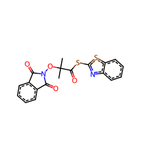 CC(C)(ON1C(=O)c2ccccc2C1=O)C(=O)Sc1nc2ccccc2s1